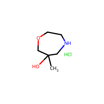 CC1(O)CNCCOC1.Cl